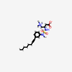 CCCCCCC#Cc1cccc(N(C)S(=O)(=O)NC(CC(=O)[O-])C[N+](C)(C)C)c1